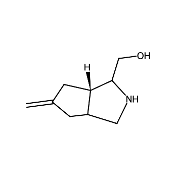 C=C1CC2CNC(CO)[C@H]2C1